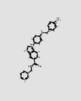 O=C(NCc1cccnc1)c1ccc2c(c1)ncn2-c1ccc(OCc2ccc(C(F)(F)F)cc2)cc1